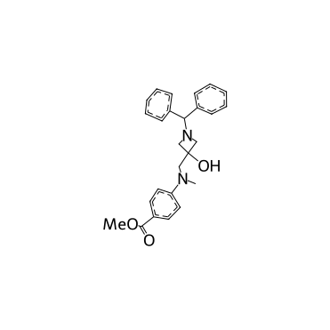 COC(=O)c1ccc(N(C)CC2(O)CN(C(c3ccccc3)c3ccccc3)C2)cc1